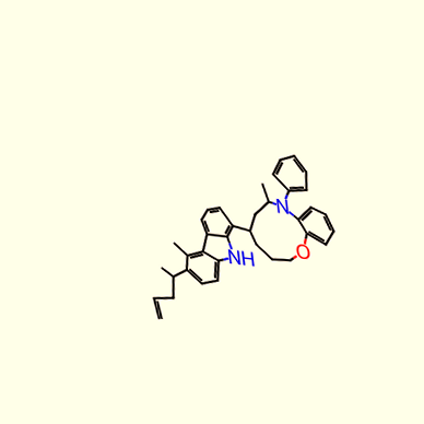 C=CCC(C)c1ccc2[nH]c3c(C4CCCOc5ccccc5N(c5ccccc5)C(C)C4)cccc3c2c1C